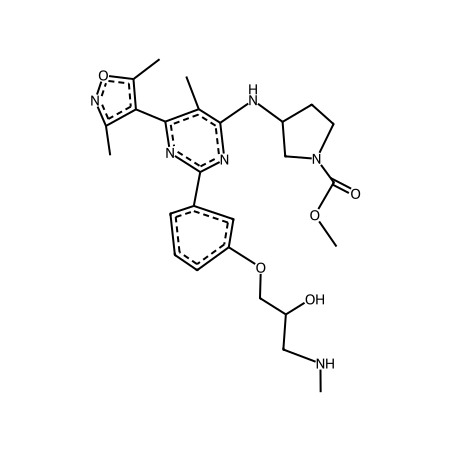 CNCC(O)COc1cccc(-c2nc(NC3CCN(C(=O)OC)C3)c(C)c(-c3c(C)noc3C)n2)c1